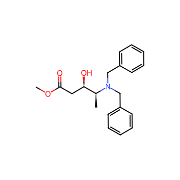 COC(=O)C[C@@H](O)[C@H](C)N(Cc1ccccc1)Cc1ccccc1